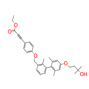 CCOC(=O)C#Cc1ccc(OCc2cccc(-c3c(C)cc(OCCC(C)(C)O)cc3C)c2C)cc1